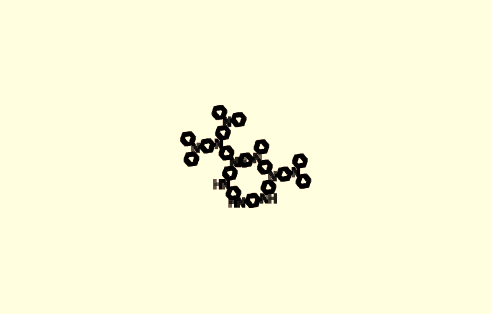 c1ccc(N(c2ccccc2)c2ccc(N(c3ccc(Nc4ccc(Nc5ccc(Nc6ccc(Nc7ccc(N(c8ccc(N(c9ccccc9)c9ccccc9)cc8)c8ccc(N(c9ccccc9)c9ccccc9)cc8)cc7)cc6)cc5)cc4)cc3)c3ccc(N(c4ccccc4)c4ccccc4)cc3)cc2)cc1